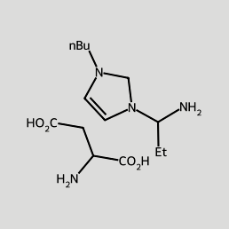 CCCCN1C=CN(C(N)CC)C1.NC(CC(=O)O)C(=O)O